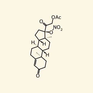 CC(=O)OCC(=O)[C@@]1(O[N+](=O)[O-])CC[C@H]2[C@@H]3CCC4=CC(=O)CC[C@]4(C)[C@H]3CC[C@@]21C